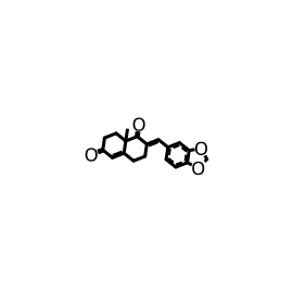 CC12CCC(=O)C=C1CC/C(=C\c1ccc3c(c1)OCO3)C2=O